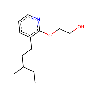 CCC(C)CCc1cccnc1OCCO